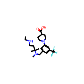 CCNCCC(C)(C)N(C)Cc1cc(N2CCC(C(=O)O)CC2)cc(C(F)(F)F)c1